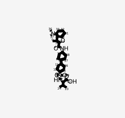 Cc1c(C(=O)Nc2ccc(-c3ccc(S(=O)(=O)NC(C(=O)O)C(C)C)cc3)cc2)oc2cccc(N(C)C)c12